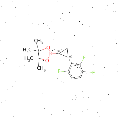 CC1(C)OB([C@H]2C[C@@H]2c2c(F)ccc(F)c2F)OC1(C)C